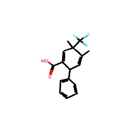 CC1=CC(c2ccccc2)C(C(=O)O)=CC1(C)C(F)(F)F